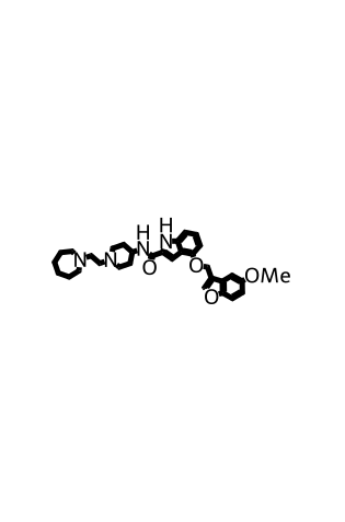 COc1ccc2occ(COc3cccc4[nH]c(C(=O)NC5CCN(CCN6CCCCCC6)CC5)cc34)c2c1